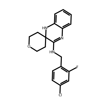 Fc1cc(Cl)ccc1CNC1=Nc2ccccc2NC12CCOCC2